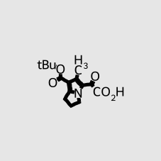 Cc1c(C(=O)OC(C)(C)C)c2n(c1C(=O)C(=O)O)CCC2